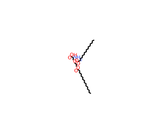 CCCCCCCCCCCCCCCC(=O)OCC(COCC(N)C(=O)O)OC(=O)CCCCCCCCCCCCCCC